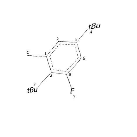 Cc1cc(C(C)(C)C)cc(F)c1C(C)(C)C